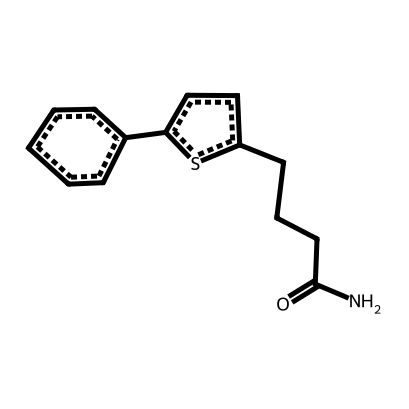 NC(=O)CCCc1ccc(-c2ccccc2)s1